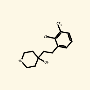 OC1(CCc2cccc(C(F)(F)F)c2Cl)CCNCC1